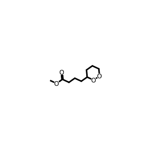 COC(=O)CCCC1CCCOO1